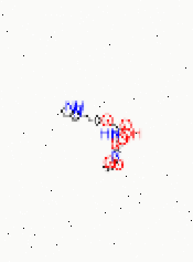 CC(C)(C)OC(=O)N1CC(C)(OC(=O)NC(CCO[C@H]2C[C@H](CCc3ccc4c(n3)NCCC4)C2)C(=O)O)C1